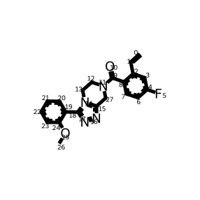 C=Cc1cc(F)ccc1C(=O)N1CCn2c(nnc2-c2ccccc2OC)C1